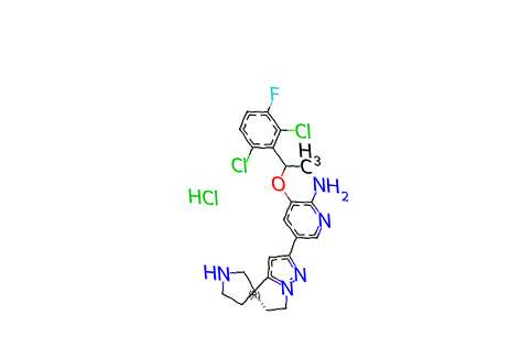 CC(Oc1cc(-c2cc3n(n2)CC[C@@]32CCNC2)cnc1N)c1c(Cl)ccc(F)c1Cl.Cl